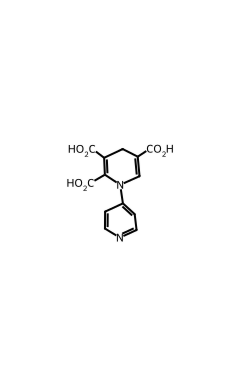 O=C(O)C1=CN(c2ccncc2)C(C(=O)O)=C(C(=O)O)C1